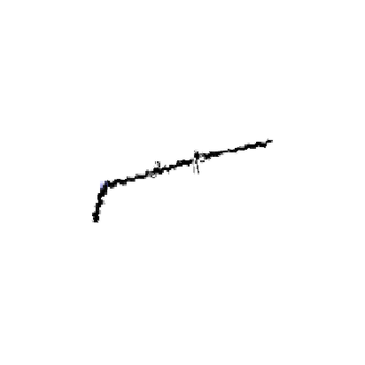 CCCCCCCC/C=C\CCCCCCCCOC(=O)CCCCCCCCCCNC(=O)OCCCCCCCCCCCCCCCC